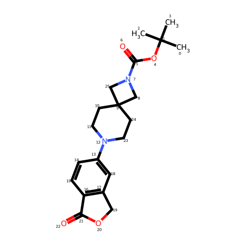 CC(C)(C)OC(=O)N1CC2(CCN(c3ccc4c(c3)COC4=O)CC2)C1